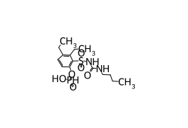 CCCCNC(=O)NS(=O)(=O)c1c(O[PH](=O)O)ccc(CC)c1CC